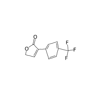 O=C1OCC=C1c1ccc(C(F)(F)F)cc1